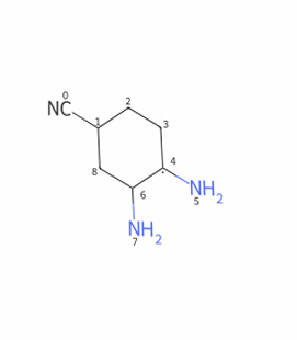 N#CC1CC[C](N)C(N)C1